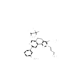 COc1cccc(-c2cc3c(cn2)CCc2c-3nn(CCCN)c2C(=O)O)c1.O=C(O)C(F)(F)F